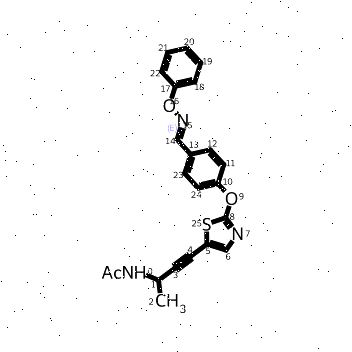 CC(=O)NC(C)C#Cc1cnc(Oc2ccc(/C=N/Oc3ccccc3)cc2)s1